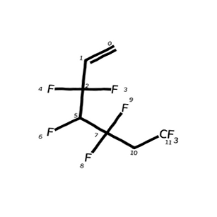 C=CC(F)(F)C(F)C(F)(F)CC(F)(F)F